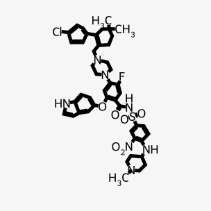 CN1CCC(Nc2ccc(S(=O)(=O)NC(=O)c3cc(F)c(N4CCN(CC5=C(c6ccc(Cl)cc6)CC(C)(C)CC5)CC4)cc3Oc3ccc4[nH]ccc4c3)cc2[N+](=O)[O-])CC1